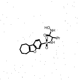 CC(C)C(NS(=O)(=O)c1ccc2c3c(oc2c1)CCCCC3)C(=O)NO